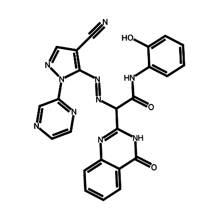 N#Cc1cnn(-c2cnccn2)c1N=NC(C(=O)Nc1ccccc1O)c1nc2ccccc2c(=O)[nH]1